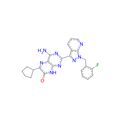 Nc1nc(-c2nn(Cc3ccccc3F)c3ncccc23)nc2[nH]c(=O)c(C3CCCC3)nc12